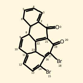 O=C1C2=CC=CCC2C2C=CC3=CC=C(Br)C4=C(Br)C(=O)C1=C2C34